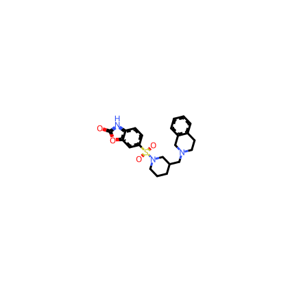 O=c1[nH]c2ccc(S(=O)(=O)N3CCCC(CN4CCc5ccccc5C4)C3)cc2o1